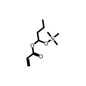 C=CC(=O)OC(CCC)O[Si](C)(C)C